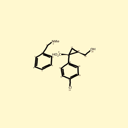 CNCc1ccccc1.O=C(O)[C@@]1(c2ccc(Cl)cc2)C[C@H]1CO